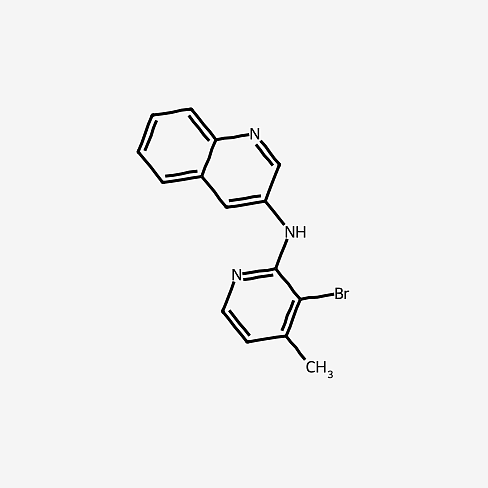 Cc1ccnc(Nc2cnc3ccccc3c2)c1Br